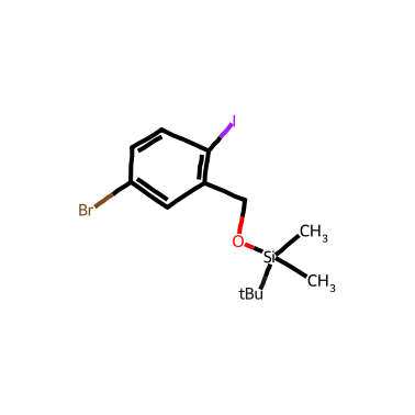 CC(C)(C)[Si](C)(C)OCc1cc(Br)ccc1I